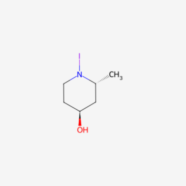 C[C@@H]1C[C@@H](O)CCN1I